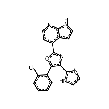 Clc1ccccc1-c1oc(-c2ccnc3[nH]ccc23)nc1-c1ncc[nH]1